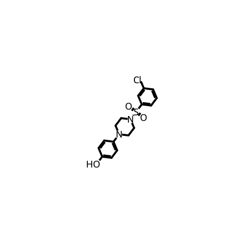 O=S(=O)(c1cccc(Cl)c1)N1CCN(c2ccc(O)cc2)CC1